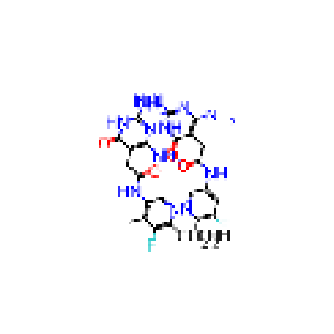 Cc1c(NC(=O)Cc2c(N)nc(N)[nH]c2=O)cnc(C(=O)O)c1F.Nc1nc(N)c(CC(=O)Nc2cnc(C(=O)O)c(F)c2)c(=O)[nH]1